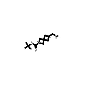 CC(C)(C)OC(=O)N1CC2(CC(CN)C2)C1